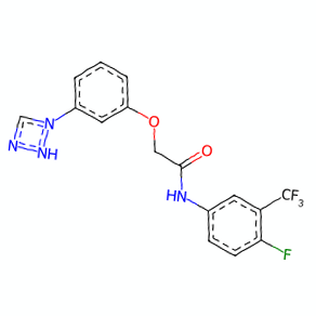 O=C(COc1cccc(-n2cn[nH]2)c1)Nc1ccc(F)c(C(F)(F)F)c1